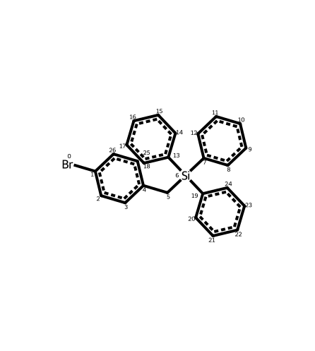 Brc1ccc(C[Si](c2ccccc2)(c2ccccc2)c2ccccc2)cc1